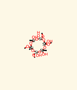 CO[Si]1(C)O[Si](C)(O)O[Si](O)(OC)O[Si](O)(OC)O[Si](C)(O)O[Si](O)(OC)O1